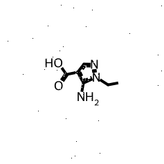 CCn1ncc(C(=O)O)c1N